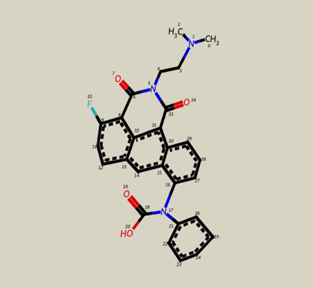 CN(C)CCN1C(=O)c2c(F)ccc3cc4c(N(C(=O)O)c5ccccc5)cccc4c(c23)C1=O